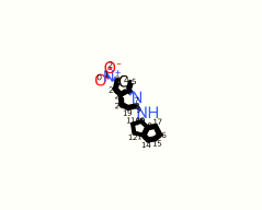 O=[N+]([O-])c1ccc2nc(N[C@@H]3CCc4ccccc43)ccc2c1